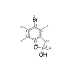 Cc1c(C)c2c(c(C)c1Br)CC(C)(O)O2